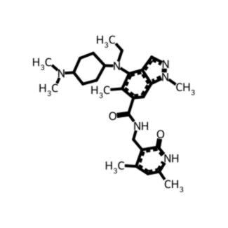 CCN(c1c(C)c(C(=O)NCc2c(C)cc(C)[nH]c2=O)cc2c1cnn2C)C1CCC(N(C)C)CC1